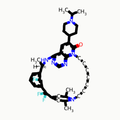 CC(C)N1CCC(c2cc3c4ncnc3n(c2=O)CCCCCCCN2C(C)CC(CC2C)C(F)(F)c2cccc(c2F)[C@@H](C)N4)CC1